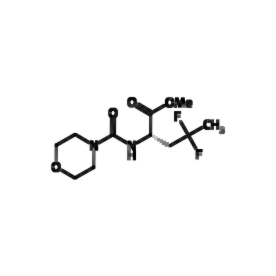 COC(=O)[C@H](CC(C)(F)F)NC(=O)N1CCOCC1